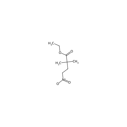 CCOC(=O)C(C)(C)CC[N+](=O)[O-]